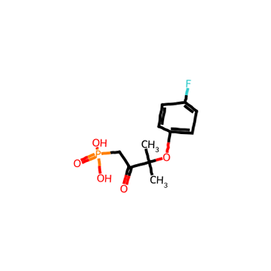 CC(C)(Oc1ccc(F)cc1)C(=O)CP(=O)(O)O